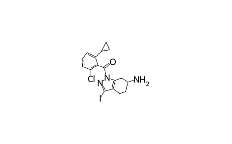 NC1CCc2c(I)nn(C(=O)c3c(Cl)cccc3C3CC3)c2C1